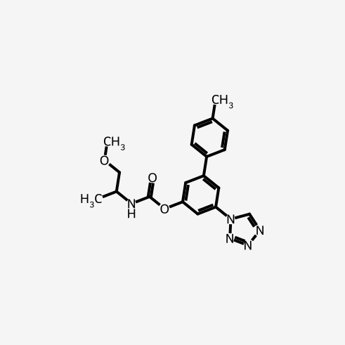 COCC(C)NC(=O)Oc1cc(-c2ccc(C)cc2)cc(-n2cnnn2)c1